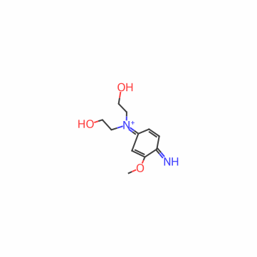 COC1=CC(=[N+](CCO)CCO)C=CC1=N